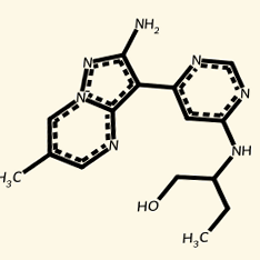 CCC(CO)Nc1cc(-c2c(N)nn3cc(C)cnc23)ncn1